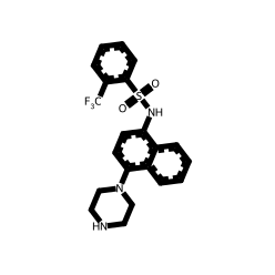 O=S(=O)(Nc1ccc(N2CCNCC2)c2ccccc12)c1ccccc1C(F)(F)F